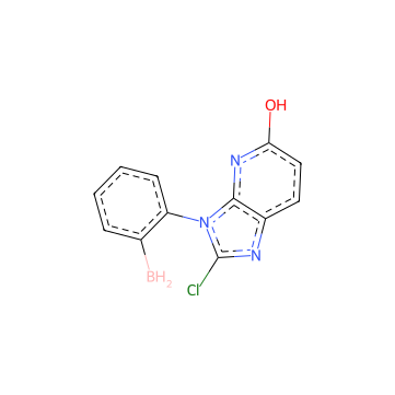 Bc1ccccc1-n1c(Cl)nc2ccc(O)nc21